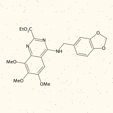 CCOC(=O)c1nc(NCc2ccc3c(c2)OCO3)c2cc(OC)c(OC)c(OC)c2n1